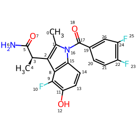 Cc1c([C@@H](C)C(N)=O)c2c(F)c(O)ccc2n1C(=O)c1ccc(F)c(F)c1